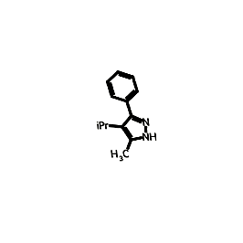 Cc1[nH]nc(-c2ccccc2)c1C(C)C